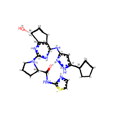 O=C(Nc1nccs1)[C@H]1CCCN1c1nc(Nc2cc(C3CCCC3)[nH]n2)c2c(n1)[C@H](O)CC2